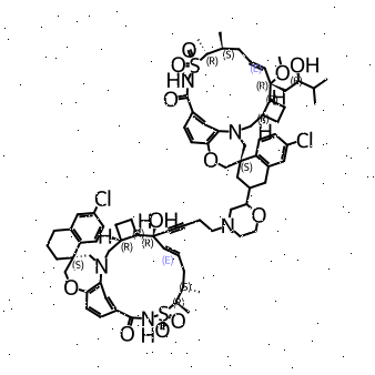 CO[C@@]1(C[C@@H](O)C(C)C)/C=C/C[C@H](C)[C@@H](C)S(=O)(=O)NC(=O)c2ccc3c(c2)N(C[C@@H]2CC[C@H]21)C[C@]1(CO3)CC(C2CN(CCC#C[C@]3(O)/C=C/C[C@H](C)[C@@H](C)S(=O)(=O)NC(=O)c4ccc5c(c4)N(C[C@@H]4CC[C@H]43)C[C@@]3(CCCc4cc(Cl)ccc43)CO5)CCO2)Cc2cc(Cl)ccc21